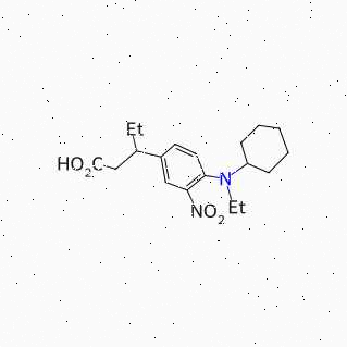 CCC(CC(=O)O)c1ccc(N(CC)C2CCCCC2)c([N+](=O)[O-])c1